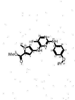 COC(=O)c1cc(Nc2nc(Nc3ccc(OC(C)C)cc3)ncc2F)cn1C